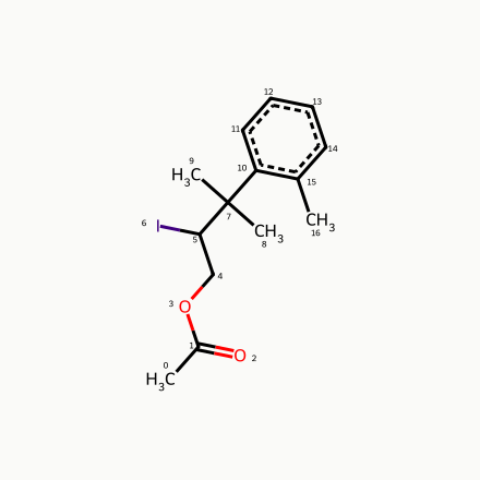 CC(=O)OCC(I)C(C)(C)c1ccccc1C